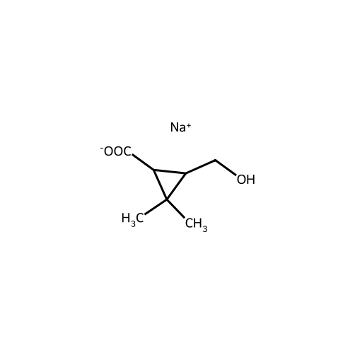 CC1(C)C(CO)C1C(=O)[O-].[Na+]